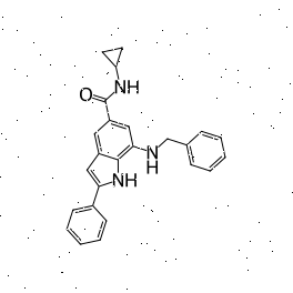 O=C(NC1CC1)c1cc(NCc2ccccc2)c2[nH]c(-c3ccccc3)cc2c1